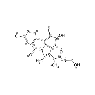 Cc1c([C@@H](C)C(=O)NCO)c2cc(O)c(F)cc2n1C(=O)c1cccc(Cl)c1